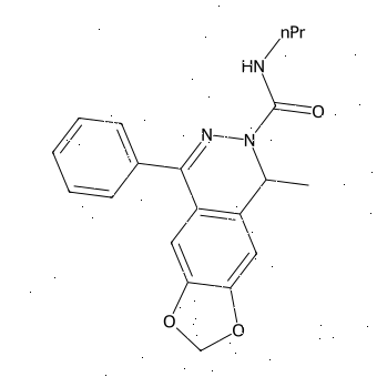 CCCNC(=O)N1N=C(c2ccccc2)c2cc3c(cc2C1C)OCO3